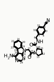 N#Cc1ccc(CNC(=O)[C@@H]2CCCN2C(=O)Cn2c3ccccc3c3c(N)ncnc32)cc1